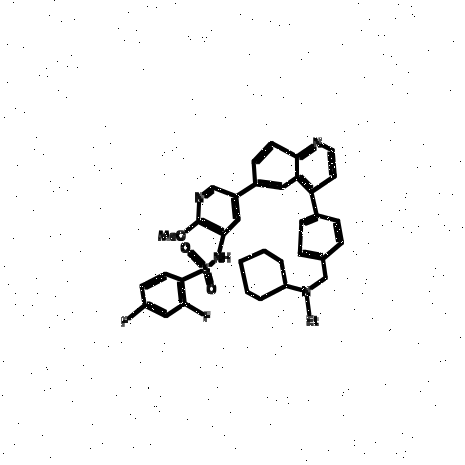 CCN(Cc1ccc(-c2ccnc3ccc(-c4cnc(OC)c(NS(=O)(=O)c5ccc(F)cc5F)c4)cc23)cc1)C1CCCCC1